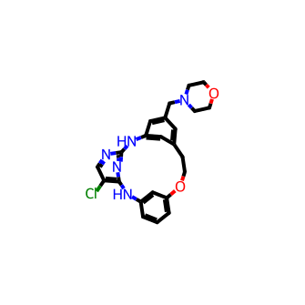 Clc1cnc2nc1Nc1cccc(c1)OCCc1cc(CN3CCOCC3)cc(c1)N2